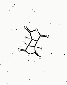 O=C1OC(=O)[C@H]2C1[C@H]1C(=O)OC(=O)[C@H]12